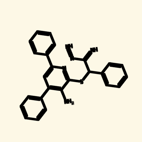 N=NC(=N)C(Sc1nc(-c2ccccc2)cc(-c2ccccc2)c1N)c1ccccc1